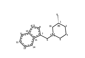 C[C@@H]1CCCN(Cc2csc3ccccc23)C1